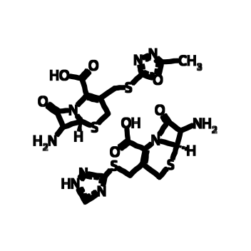 Cc1nnc(SCC2=C(C(=O)O)N3C(=O)C(N)[C@H]3SC2)o1.NC1C(=O)N2C(C(=O)O)=C(CSc3nc[nH]n3)CS[C@H]12